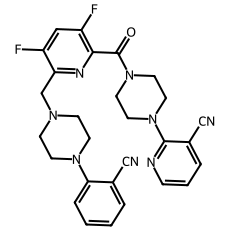 N#Cc1ccccc1N1CCN(Cc2nc(C(=O)N3CCN(c4ncccc4C#N)CC3)c(F)cc2F)CC1